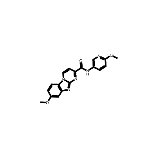 COc1ccc2c(c1)nc1nc(C(=O)Nc3ccc(OC)nc3)ccn12